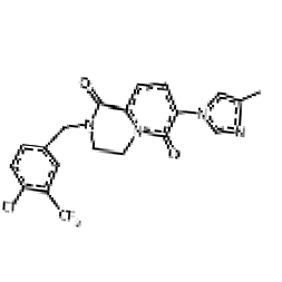 Cc1cn(-c2ccc3n(c2=O)CCN(Cc2ccc(Cl)c(C(F)(F)F)c2)C3=O)cn1